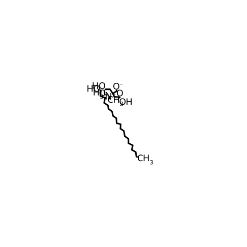 CCCCCCCCCCCCCCCCCCC(CCO)[N+](C)(C)C(CCO)(CC(=O)O)C(=O)[O-]